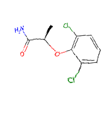 C[C@@H](Oc1c(Cl)cccc1Cl)C(N)=O